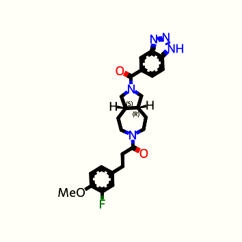 COc1ccc(CCC(=O)N2CC[C@@H]3CN(C(=O)c4ccc5[nH]nnc5c4)C[C@@H]3CC2)cc1F